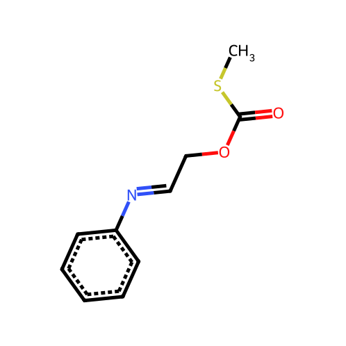 CSC(=O)OCC=Nc1ccccc1